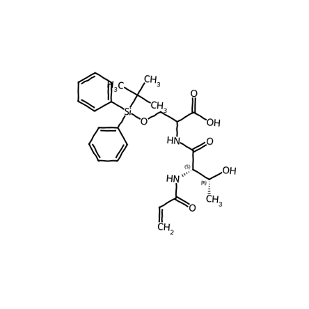 C=CC(=O)N[C@H](C(=O)NC(CO[Si](c1ccccc1)(c1ccccc1)C(C)(C)C)C(=O)O)[C@@H](C)O